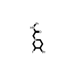 CC(C)NC(=O)CN1CCC(C(C)C)C(F)C1